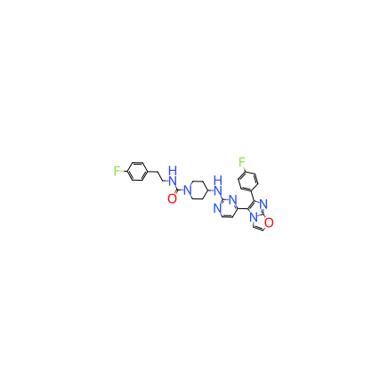 O=C(NCCc1ccc(F)cc1)N1CCC(Nc2nccc(-c3c(-c4ccc(F)cc4)nc4occn34)n2)CC1